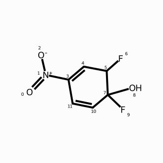 O=[N+]([O-])C1=CC(F)C(O)(F)C=C1